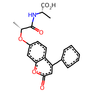 C[C@H](NC(=O)[C@@H](C)Oc1ccc2c(-c3ccccc3)cc(=O)oc2c1)C(=O)O